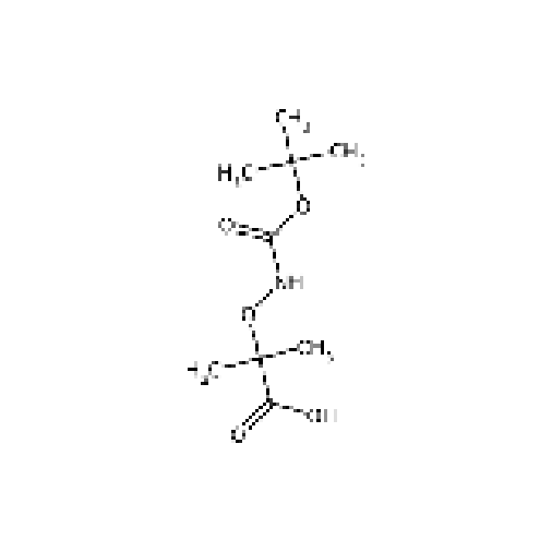 CC(C)(C)OC(=O)NOC(C)(C)C(=O)O